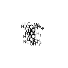 CC1(C)CC[C@]2(c3nnn(CCF)n3)CC[C@]3(C)[C@H](C(=O)C=C4[C@@]5(C)CC(C#N)=C(O)C(C)(C)[C@@H]5CC[C@]43C)[C@@H]2C1